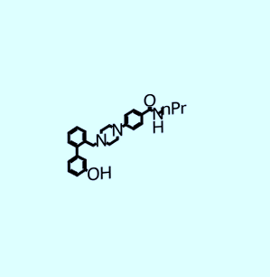 CCCNC(=O)c1ccc(N2CCN(Cc3ccccc3-c3cccc(O)c3)CC2)cc1